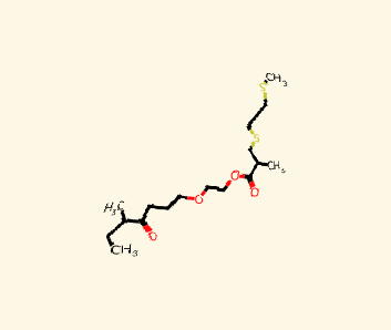 CCC(C)C(=O)CCCOCCOC(=O)C(C)CSCCSC